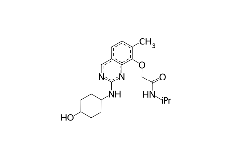 Cc1ccc2cnc(NC3CCC(O)CC3)nc2c1OCC(=O)NC(C)C